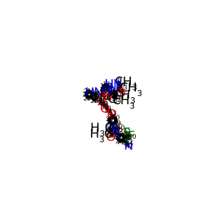 CN[C@@H](C)C(=O)NC(C(=O)N1CCC[C@H]1C(=O)N[C@H]1c2ccccc2C[C@H]1OCCOCCOc1ccc(N2C(=S)N(c3ccc(C#N)c(C(F)(F)F)c3)C(=O)C2(C)C)cc1)C(C)(C)C